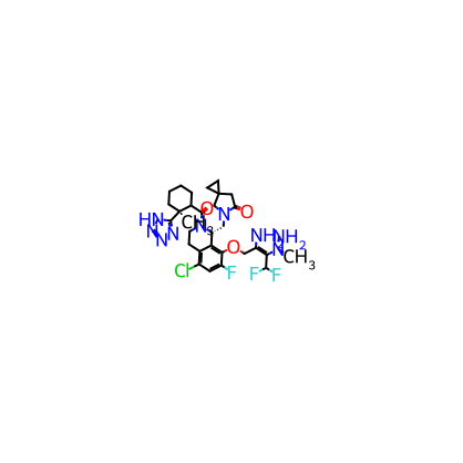 CN(N)/C(=C(\N)COc1c(F)cc(Cl)c2c1[C@@H](CN1CC3(CC3)CC1=O)N(C(=O)C1CCCC[C@]1(C)c1nnn[nH]1)CC2)C(F)F